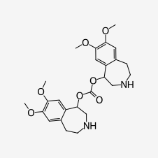 COc1cc2c(cc1OC)C(OC(=O)OC1CNCCc3cc(OC)c(OC)cc31)CNCC2